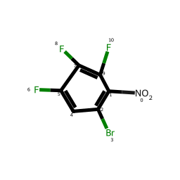 O=[N+]([O-])c1c(Br)cc(F)c(F)c1F